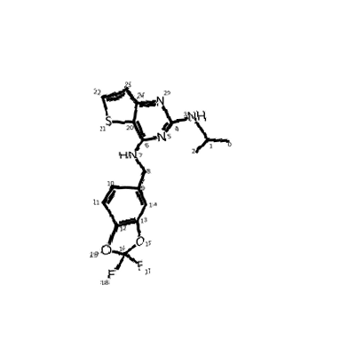 CC(C)Nc1nc(NCc2ccc3c(c2)OC(F)(F)O3)c2sccc2n1